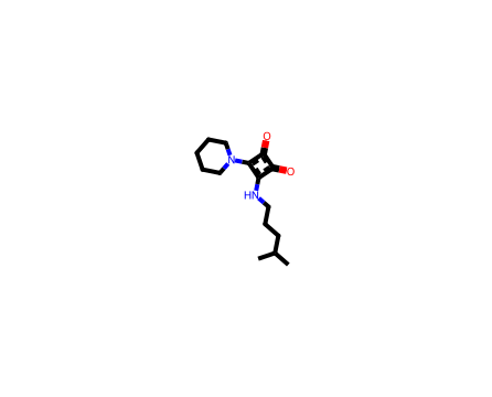 CC(C)CCCNc1c(N2CCCCC2)c(=O)c1=O